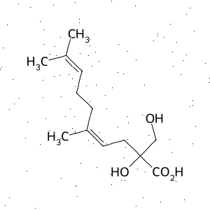 CC(C)=CCCC(C)=CCC(O)(CO)C(=O)O